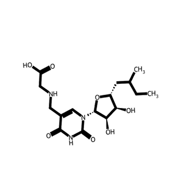 CCC(C)C[C@H]1O[C@@H](n2cc(CNCC(=O)O)c(=O)[nH]c2=O)[C@H](O)[C@@H]1O